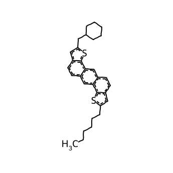 CCCCCCc1cc2ccc3cc4c(ccc5cc(CC6CCCCC6)sc54)cc3c2s1